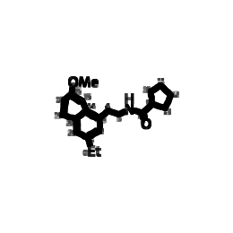 CCc1cc(CCNC(=O)C2CCCC2)c2cc(OC)ccc2c1